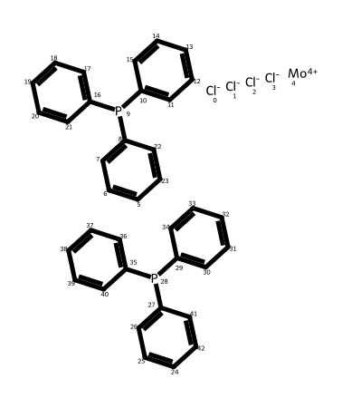 [Cl-].[Cl-].[Cl-].[Cl-].[Mo+4].c1ccc(P(c2ccccc2)c2ccccc2)cc1.c1ccc(P(c2ccccc2)c2ccccc2)cc1